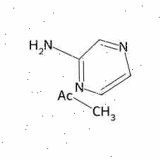 CC(C)=O.Nc1cnccn1